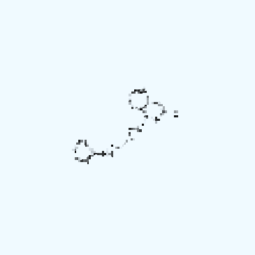 Clc1cc2ncccc2c(N2CC(CCNc3ncccn3)C2)n1